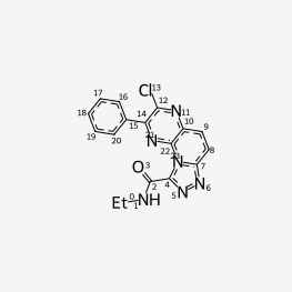 CCNC(=O)c1nnc2ccc3nc(Cl)c(-c4ccccc4)nc3n12